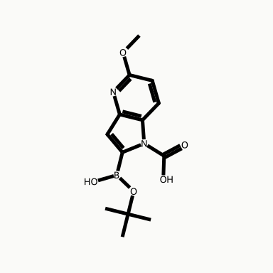 COc1ccc2c(cc(B(O)OC(C)(C)C)n2C(=O)O)n1